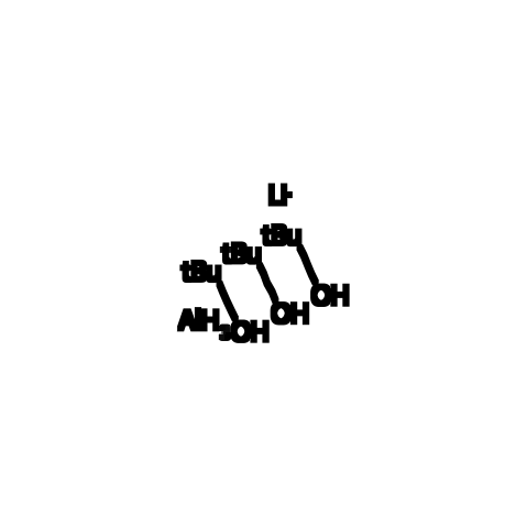 CC(C)(C)O.CC(C)(C)O.CC(C)(C)O.[AlH3].[Li]